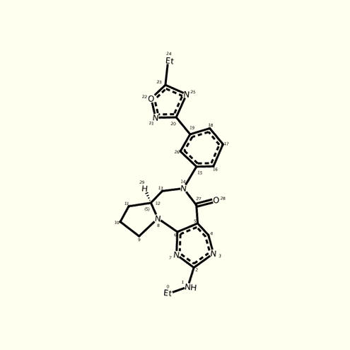 CCNc1ncc2c(n1)N1CCC[C@H]1CN(c1cccc(-c3noc(CC)n3)c1)C2=O